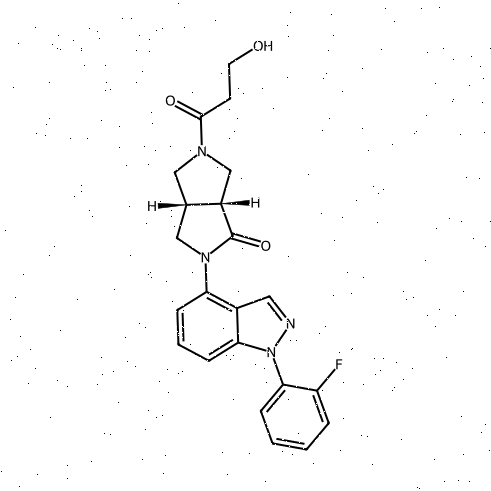 O=C(CCO)N1C[C@H]2CN(c3cccc4c3cnn4-c3ccccc3F)C(=O)[C@H]2C1